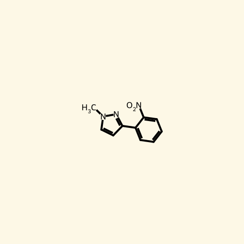 Cn1ccc(-c2ccccc2[N+](=O)[O-])n1